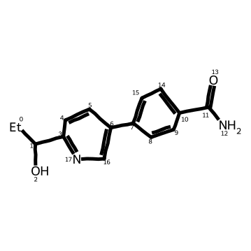 CCC(O)c1ccc(-c2ccc(C(N)=O)cc2)cn1